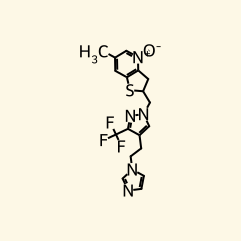 Cc1cc2c([n+]([O-])c1)CC(Cn1cc(CCn3ccnc3)c(C(F)(F)F)n1)S2